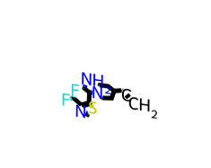 C=C=CC1CCN(C(CN)c2scnc2C(F)F)CC1